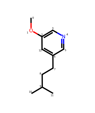 COc1cncc(CCC(C)C)c1